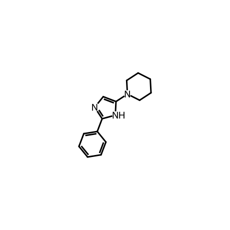 c1ccc(-c2ncc(N3CCCCC3)[nH]2)cc1